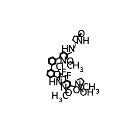 COc1nc(-c2cccc(-c3cccc4c3CC[C@@H]4Nc3nc(OC)c(CN4CCC[C@@]4(C)C(=O)O)cc3C(F)(F)F)c2Cl)ccc1CNC[C@@H]1CCC(=O)N1